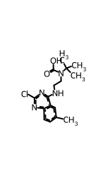 Cc1ccc2nc(Cl)nc(NCCN(C(=O)O)C(C)(C)C)c2c1